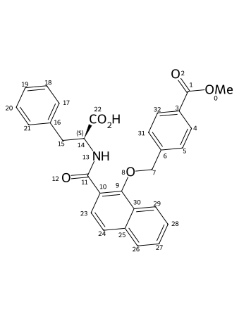 COC(=O)c1ccc(COc2c(C(=O)N[C@@H](Cc3ccccc3)C(=O)O)ccc3ccccc23)cc1